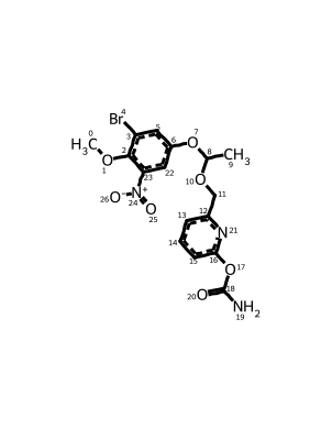 COc1c(Br)cc(OC(C)OCc2cccc(OC(N)=O)n2)cc1[N+](=O)[O-]